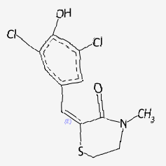 CN1CCS/C(=C/c2cc(Cl)c(O)c(Cl)c2)C1=O